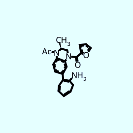 CC(=O)N1c2ccc(C3=C(N)CC=CC=C3)cc2N(C(=O)c2ccco2)C[C@@H]1C